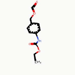 CCOC(=O)Nc1ccc(CO[C]=O)cc1